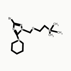 C[Si](C)(C)CCOCn1nc(Br)nc1N1CCCCC1